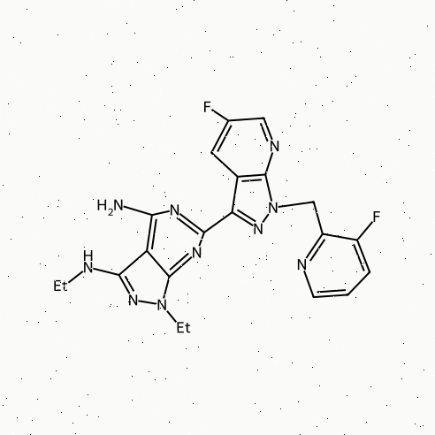 CCNc1nn(CC)c2nc(-c3nn(Cc4ncccc4F)c4ncc(F)cc34)nc(N)c12